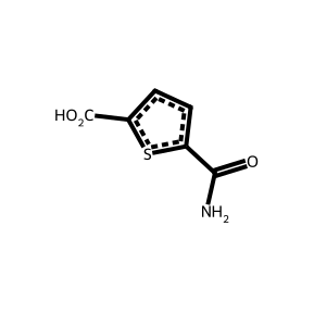 NC(=O)c1ccc(C(=O)O)s1